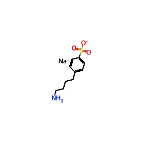 NCCCCc1ccc(S(=O)(=O)[O-])cc1.[Na+]